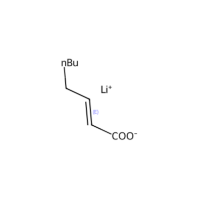 CCCCC/C=C/C(=O)[O-].[Li+]